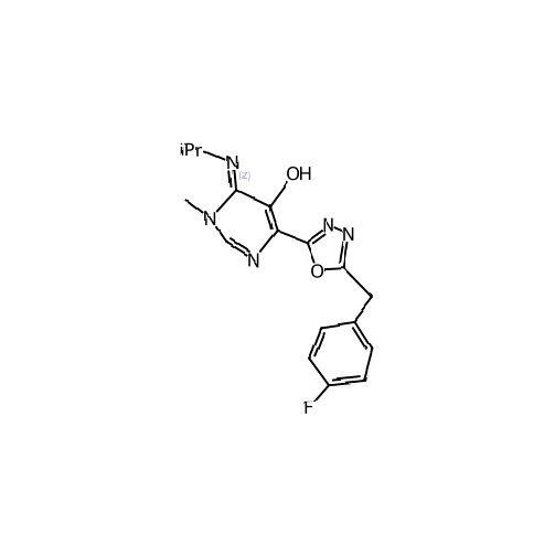 CC(C)/N=c1/c(O)c(-c2nnc(Cc3ccc(F)cc3)o2)ncn1C